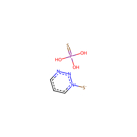 OP(O)(O)=S.[S-][n+]1cccnn1